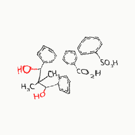 CC(C)(C(O)c1ccccc1)C(O)c1ccccc1.O=C(O)c1ccccc1.O=S(=O)(O)c1ccccc1